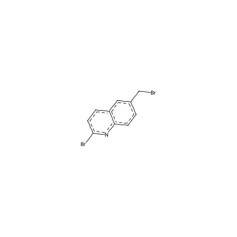 BrCc1ccc2nc(Br)ccc2c1